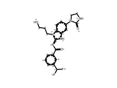 O=C(/N=c1\[nH]c2cc(N3CCNC3=O)ccc2n1CCCO)c1cccc(C(F)F)c1